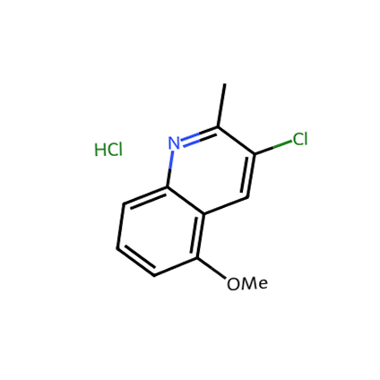 COc1cccc2nc(C)c(Cl)cc12.Cl